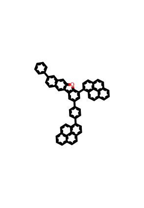 c1ccc(-c2ccc3cc4c(cc3c2)oc2c(-c3ccc5ccc6cccc7ccc3c5c67)cc(-c3ccc(-c5ccc6ccc7cccc8ccc5c6c78)cc3)cc24)cc1